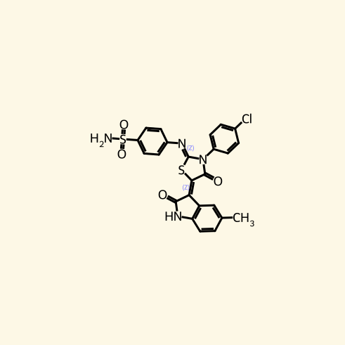 Cc1ccc2c(c1)/C(=C1/S/C(=N\c3ccc(S(N)(=O)=O)cc3)N(c3ccc(Cl)cc3)C1=O)C(=O)N2